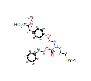 CCCSCCCN(CCOc1ccc(CC(OCC)C(=O)O)cc1)C(=O)OCCc1ccccc1